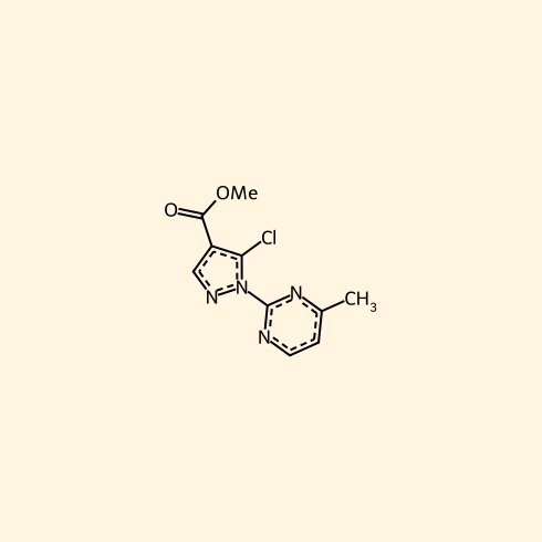 COC(=O)c1cnn(-c2nccc(C)n2)c1Cl